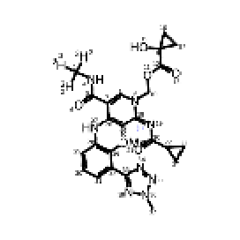 [2H]C([2H])([2H])NC(=O)c1cn(COC(=O)C2(O)CC2)/c(=N/C(=O)C2CC2)cc1Nc1cccc(-c2nnn(C)n2)c1OC